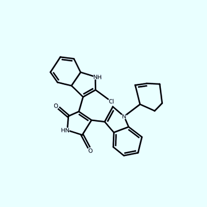 O=C1NC(=O)C(c2cn(C3C=CCCC3)c3ccccc23)=C1C1=C(Cl)NC2C=CC=CC12